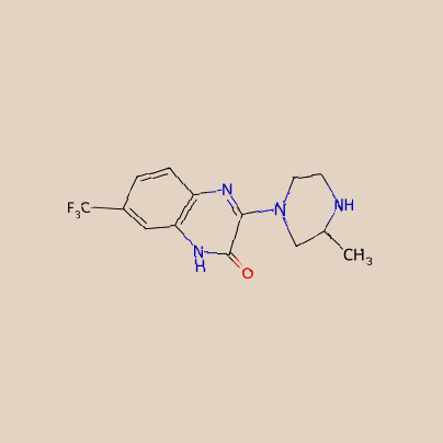 CC1CN(c2nc3ccc(C(F)(F)F)cc3[nH]c2=O)CCN1